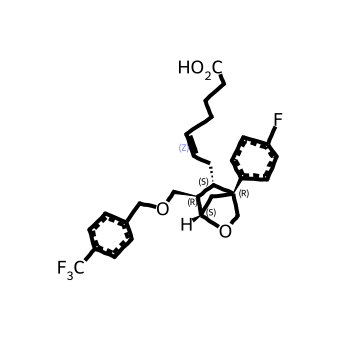 O=C(O)CCC/C=C\C[C@H]1[C@H](COCc2ccc(C(F)(F)F)cc2)[C@@H]2C[C@@]1(c1ccc(F)cc1)CO2